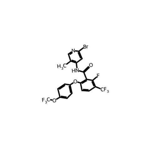 Cc1cnc(Br)cc1NC(=O)c1c(Oc2ccc(OC(F)(F)F)cc2)ccc(C(F)(F)F)c1F